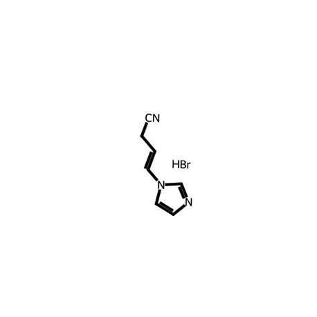 Br.N#CCC=Cn1ccnc1